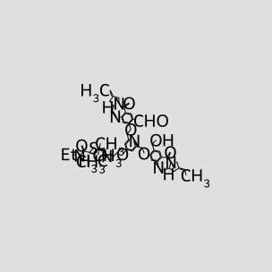 C/C=C1\C[C@H]2C=Nc3cc(OCc4cc(OCCN(C)CC(C)(C)SCC(=O)N(C)CC)cc(COc5cc6c(cc5CO)C(=O)N5C/C(=C/C)C[C@H]5C=N6)n4)c(C=O)cc3C(=O)N2C1